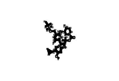 COc1cc2ncc(-c3nc(N[C@H]4CN(C(=O)OC(C)(C)C)CC[C@@H]4F)c(CO[Si](C)(C)C(C)(C)C)cc3F)n2nc1C1CC1